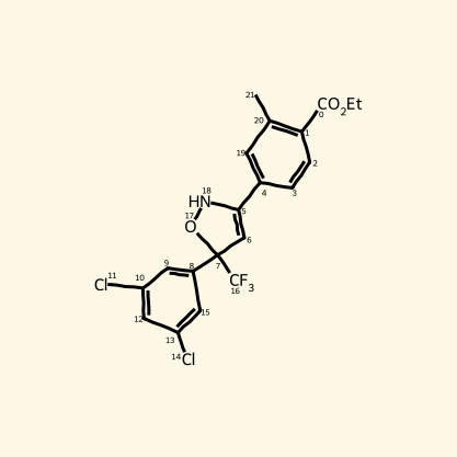 CCOC(=O)c1ccc(C2=CC(c3cc(Cl)cc(Cl)c3)(C(F)(F)F)ON2)cc1C